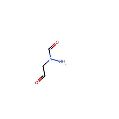 NN(C=O)CC=O